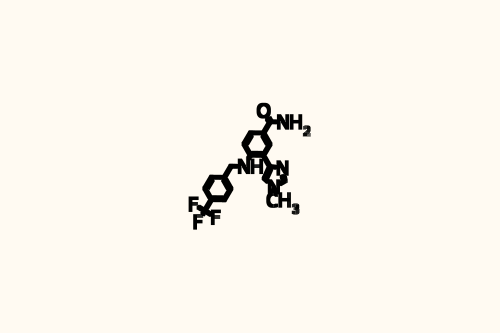 Cn1cnc(-c2cc(C(N)=O)ccc2NCc2ccc(C(F)(F)F)cc2)c1